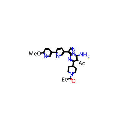 CCC(=O)N1CCC(c2nc3c(-c4ccc(-c5ccc(OC)nc5)nc4)cnn3c(N)c2C(C)=O)CC1